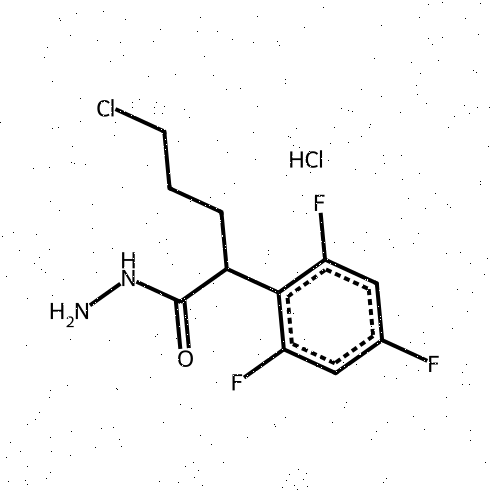 Cl.NNC(=O)C(CCCCl)c1c(F)cc(F)cc1F